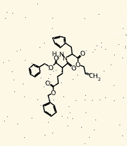 C=CCOC(=O)C(Cc1ccccc1)N(N)C(=O)C(CCCC(=O)OCc1ccccc1)C(=O)OCc1ccccc1